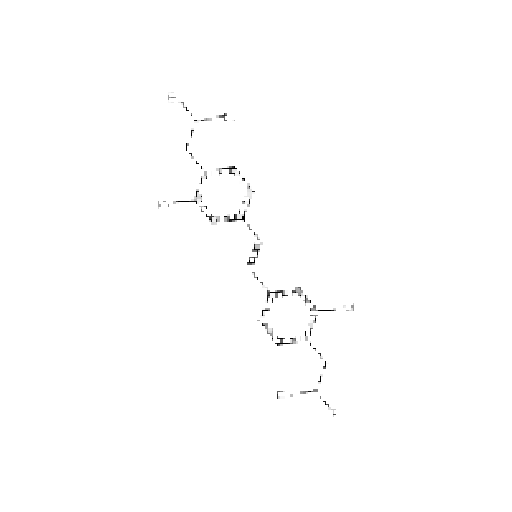 CCN(CC)Cc1ccc(C=Cc2ccc(CN(CC)CC)c(O)c2)cc1O